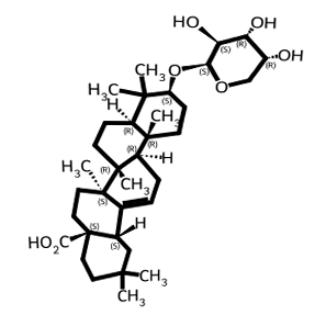 CC1(C)CC[C@]2(C(=O)O)CC[C@]3(C)C(=CC[C@@H]4[C@@]5(C)CC[C@H](O[C@@H]6OC[C@@H](O)[C@@H](O)[C@@H]6O)C(C)(C)[C@@H]5CC[C@]43C)[C@@H]2C1